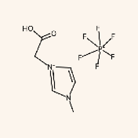 Cn1cc[n+](CC(=O)O)c1.F[P-](F)(F)(F)(F)F